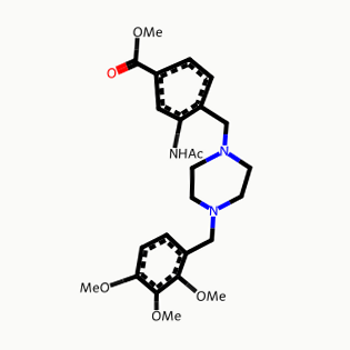 COC(=O)c1ccc(CN2CCN(Cc3ccc(OC)c(OC)c3OC)CC2)c(NC(C)=O)c1